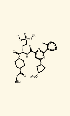 CCCCOC(=O)N1CCN(C(=O)[C@H](CCP(=O)(OCC)OCC)NC(=O)c2cc(N3CC[C@H](OC)C3)nc(-c3ccccc3F)n2)CC1